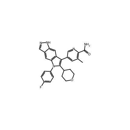 Cc1cc(-c2c(C3CCOCC3)n(-c3ccc(F)cc3)c3cc4cn[nH]c4cc23)cnc1C(N)=O